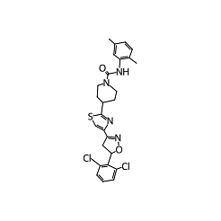 Cc1ccc(C)c(NC(=O)N2CCC(c3nc(C4=NOC(c5c(Cl)cccc5Cl)C4)cs3)CC2)c1